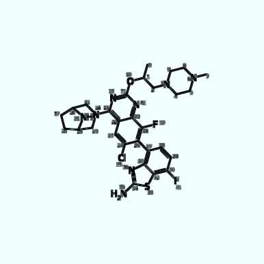 CC(CN1CCN(C)CC1)Oc1nc(N2CC3CCC(C2)N3)c2cc(Cl)c(-c3ccc(F)c4sc(N)nc34)c(F)c2n1